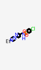 CCN1CCN(c2ccc(CNS(=O)(=O)c3ccc(Cl)cc3)cn2)CC1